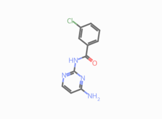 Nc1ccnc(NC(=O)c2cccc(Cl)c2)n1